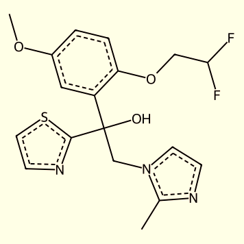 COc1ccc(OCC(F)F)c(C(O)(Cn2ccnc2C)c2nccs2)c1